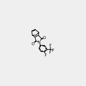 O=C1C2C3C=CC(C3)C2C(=O)N1c1ccc(F)c(C(F)(F)F)c1